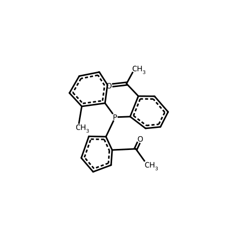 CC(=O)c1ccccc1P(c1ccccc1C)c1ccccc1C(C)=O